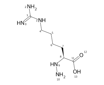 N=C(N)NCCCC[C@H](NN)C(=O)O